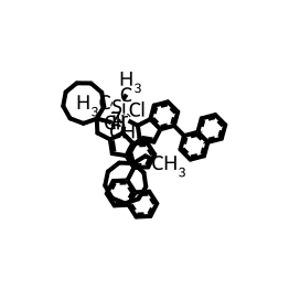 CCC1(CC2=Cc3c(-c4cccc5ccccc45)cccc3[CH]2[Zr]([Cl])([Cl])([CH]2C(CC3(CC)CCCCCCCC3)=Cc3c(-c4cccc5ccccc45)cccc32)[SiH](C)C)CCCCCCCC1